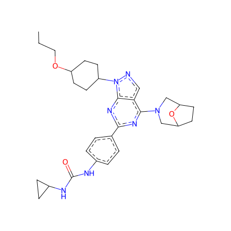 CCCOC1CCC(n2ncc3c(N4CC5CCC(C4)O5)nc(-c4ccc(NC(=O)NC5CC5)cc4)nc32)CC1